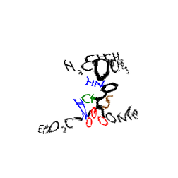 CCOC(=O)CCNC(=O)COc1c(C(=O)OC)sc(-c2cccc(NC3CC(C)(C)CC(C)(C)C3)c2)c1Cl